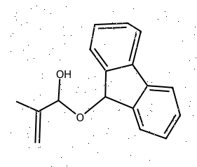 C=C(C)C(O)OC1c2ccccc2-c2ccccc21